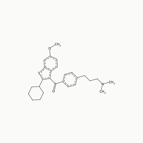 COc1ccc2c(C(=O)c3ccc(CCCN(C)C)cc3)c(C3CCCCC3)sc2c1